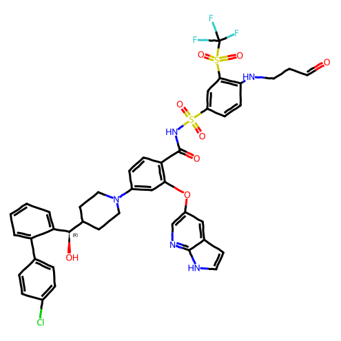 O=CCCNc1ccc(S(=O)(=O)NC(=O)c2ccc(N3CCC([C@@H](O)c4ccccc4-c4ccc(Cl)cc4)CC3)cc2Oc2cnc3[nH]ccc3c2)cc1S(=O)(=O)C(F)(F)F